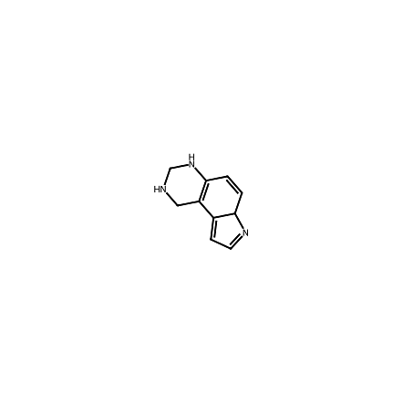 C1=CC2N=CC=C2C2=C1NCNC2